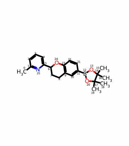 Cc1cccc(C2CCc3cc(B4OC(C)(C)C(C)(C)O4)ccc3O2)n1